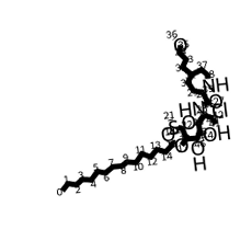 CCCCCCCCCCCCCCCC(=O)OC1C(SC)OC(C(NC(=O)C2CCC(CCCOC)CCN2)C(C)Cl)C(O)C1O